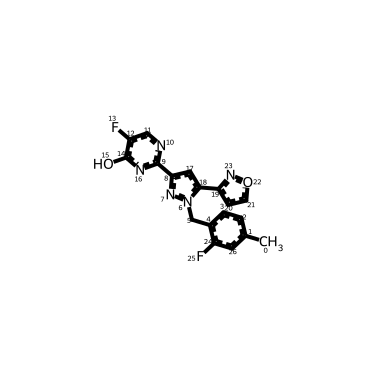 Cc1ccc(Cn2nc(-c3ncc(F)c(O)n3)cc2-c2ccon2)c(F)c1